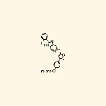 CCCCCOc1ccc(-c2cc(CN3Cc4nc(-c5ccccc5F)[nH]c4C=N3)on2)cc1